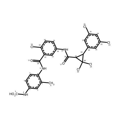 Cc1cc(NC(=O)O)ccc1NC(=O)c1cc(NC(=O)C2C(c3cc(Cl)cc(Cl)c3)C2(Cl)Cl)ccc1Cl